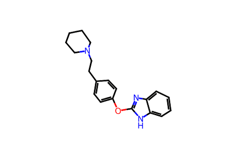 c1ccc2[nH]c(Oc3ccc(CCN4CCCCC4)cc3)nc2c1